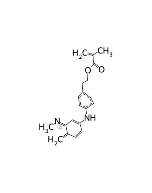 C=C(C)C(=O)OCCc1ccc(NC2=C/C(=N/C)C(=C)C=C2)cc1